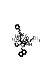 COC(=O)[C@H](CCSC)NC(=O)CN(Cc1cccc2ccccc12)C(C(=O)[C@@H](N)CNC(=O)OCc1ccccc1)[C@@H]1CCCN1